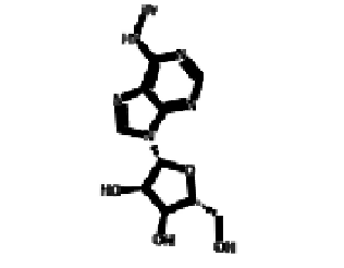 CC(C)Nc1ncnc2c1ncn2[C@@H]1O[C@H](CO)[C@@H](O)[C@H]1O